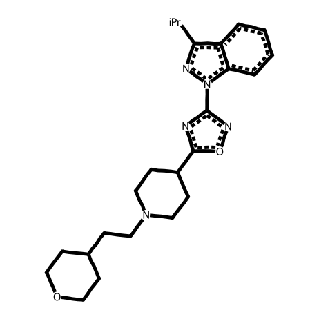 CC(C)c1nn(-c2noc(C3CCN(CCC4CCOCC4)CC3)n2)c2ccccc12